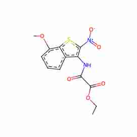 CCOC(=O)C(=O)Nc1c([N+](=O)[O-])sc2c(OC)cccc12